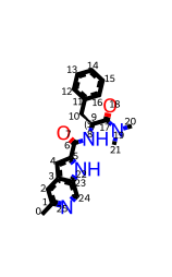 Cc1cc2cc(C(=O)N[C@@H](Cc3ccccc3)C(=O)N(C)C)[nH]c2cn1